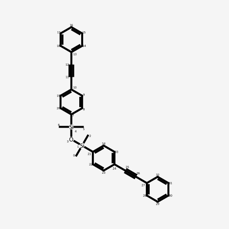 C[Si](C)(O[Si](C)(C)c1ccc(C#Cc2ccccc2)cc1)c1ccc(C#Cc2ccccc2)cc1